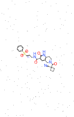 N#CC1(C(=O)N2CCc3[nH]c(=O)c(C(=O)NC/C=C/S(=O)(=O)c4ccccc4)cc3C2)CCC1